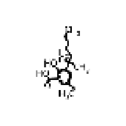 CCCCCC(C)(C)c1cc(CC)cc(C(=O)O)c1O